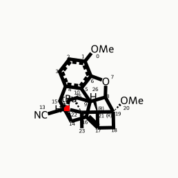 COc1ccc2c3c1OC1C34CCN(C#N)C(C2)C4=C2C[C@@]1(OC)[C@H]2[C@@](C)(O)C(C)(C)C